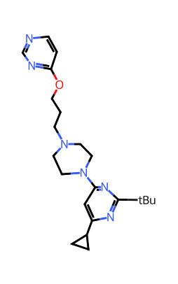 CC(C)(C)c1nc(C2CC2)cc(N2CCN(CCCOc3ccncn3)CC2)n1